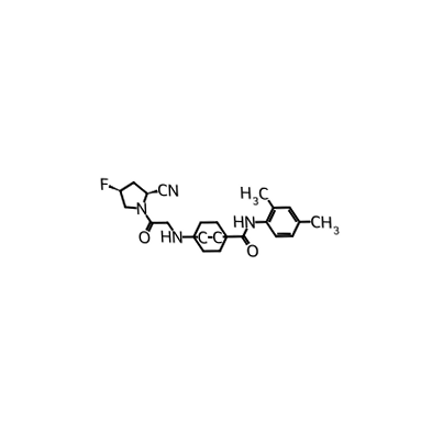 Cc1ccc(NC(=O)C23CCC(NCC(=O)N4C[C@@H](F)C[C@H]4C#N)(CC2)CC3)c(C)c1